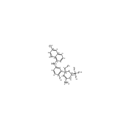 NC1=N[C@](CF)(c2cc(Nc3cccc4cc(Cl)cnc34)ccc2F)C[C@@H](C(F)(F)F)O1